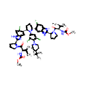 COC(=O)N[C@H](C(=O)N1CCC[C@H]1c1nc2cc([C@H]3CC[C@H](c4cc5nc([C@@H]6CCCN6C(=O)[C@@H](NC(=O)OC)C(C)C)[nH]c5cc4F)N3c3cc(F)c(N4CCC(C(C)(C)C)CC4)c(F)c3)c(F)cc2[nH]1)C(C)C